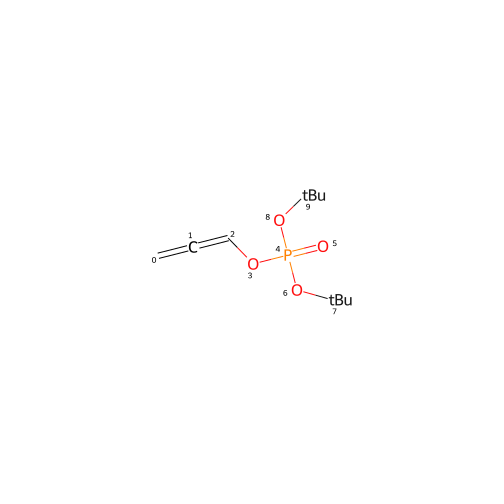 C=C=COP(=O)(OC(C)(C)C)OC(C)(C)C